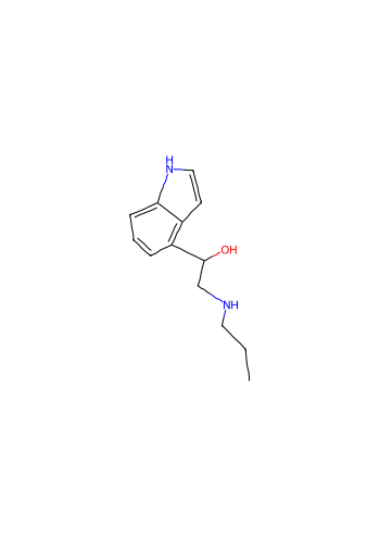 CCCNCC(O)c1cccc2[nH]ccc12